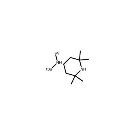 CC(C)NC(C)(C)C.CC1(C)CCCC(C)(C)N1